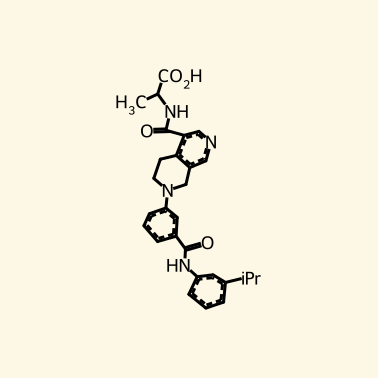 CC(NC(=O)c1cncc2c1CCN(c1cccc(C(=O)Nc3cccc(C(C)C)c3)c1)C2)C(=O)O